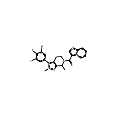 CC1c2nn(C)c(-c3cc(F)c(F)c(F)c3)c2CCN1C(=O)c1cnc2ccccn12